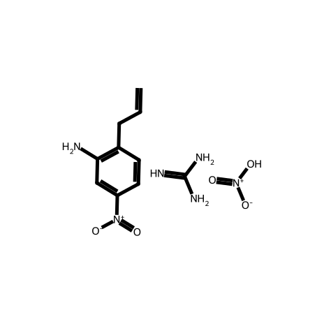 C=CCc1ccc([N+](=O)[O-])cc1N.N=C(N)N.O=[N+]([O-])O